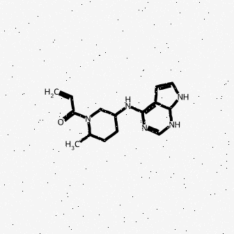 C=CC(=O)N1CC(NC2=C3C=CNC3NC=N2)CCC1C